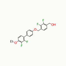 CCOc1ccc(-c2ccc(OCc3ccc(CO)c(F)c3F)cc2)c(F)c1F